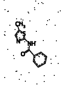 Cc1cnc(NC(=O)c2ccccc2)s1